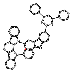 c1ccc(-c2cc(-c3ccccc3)nc(-c3ccc4oc5ccc(-n6c7ccccc7c7ccc8c9ccccc9n(-c9ccccc9)c8c76)cc5c4c3)n2)cc1